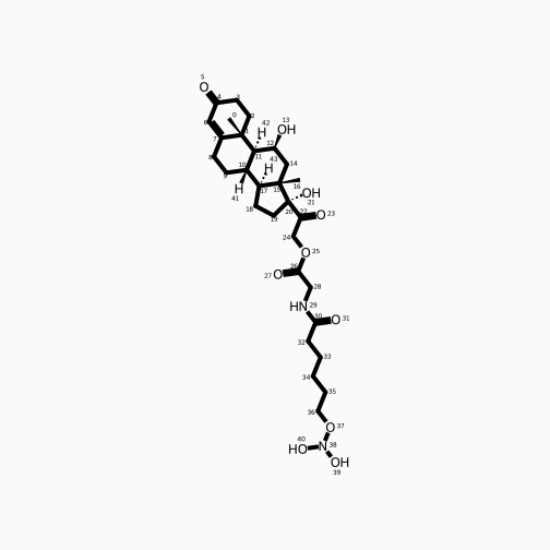 C[C@]12CCC(=O)C=C1CC[C@@H]1[C@@H]2[C@@H](O)C[C@@]2(C)[C@H]1CC[C@]2(O)C(=O)COC(=O)CNC(=O)CCCCCON(O)O